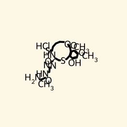 COc1cc(O)c2c(c1C)C(=O)OCCCCC(=S)N[C@H](c1nc(CNC(=O)[C@H](C)N)no1)CSC2.Cl